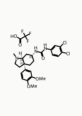 COc1ccc([C@@]23CC[C@@H](NC(=O)Nc4ccc(Cl)c(Cl)c4)C[C@@H]2N(C)CC3)cc1OC.O=C(O)C(F)(F)F